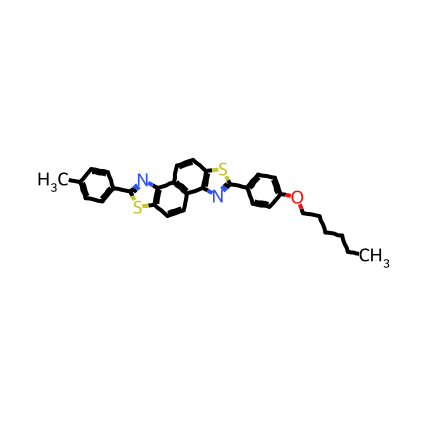 CCCCCCOc1ccc(-c2nc3c(ccc4c3ccc3sc(-c5ccc(C)cc5)nc34)s2)cc1